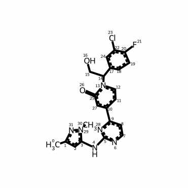 Cc1cc(Nc2nccc(-c3ccn(C(CO)c4ccc(F)c(Cl)c4)c(=O)c3)n2)n(C)n1